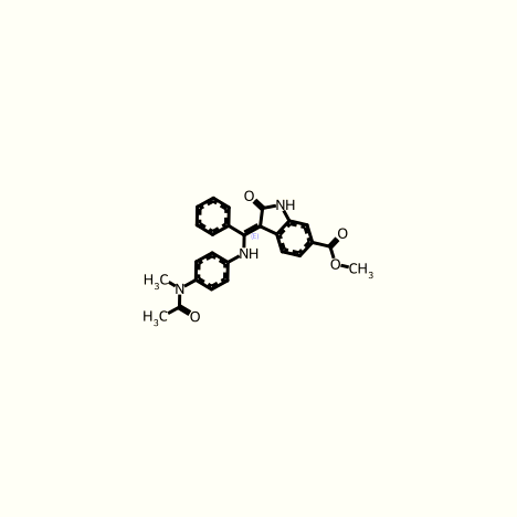 COC(=O)c1ccc2c(c1)NC(=O)/C2=C(/Nc1ccc(N(C)C(C)=O)cc1)c1ccccc1